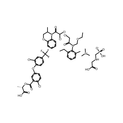 CC1COc2ccccc2N1C(=O)C(Cl)Cl.CCOCN(C(=O)CCl)c1c(C)cccc1CC.C[C@H](OC(=O)c1cc(Oc2ccc(C(F)(F)F)cc2Cl)ccc1Cl)C(=O)O.C[S+](C)C.O=C(O)CNCP(=O)([O-])O